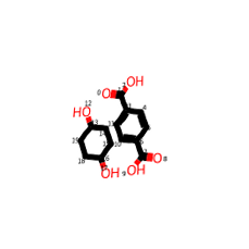 O=C(O)c1ccc(C(=O)O)cc1.OC1CCC(O)CC1